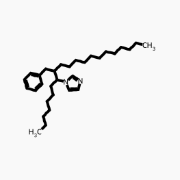 CCCCCCCCCCCCC(Cc1ccccc1)C(CCCCCCC)n1ccnc1